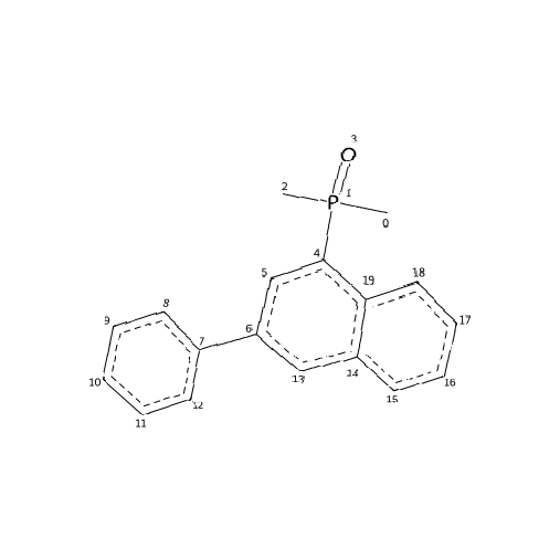 CP(C)(=O)c1cc(-c2ccccc2)cc2ccccc12